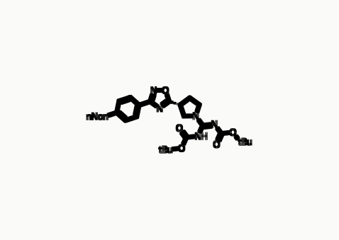 CCCCCCCCCc1ccc(-c2noc([C@@H]3CCN(C(=NC(=O)OC(C)(C)C)NC(=O)OC(C)(C)C)C3)n2)cc1